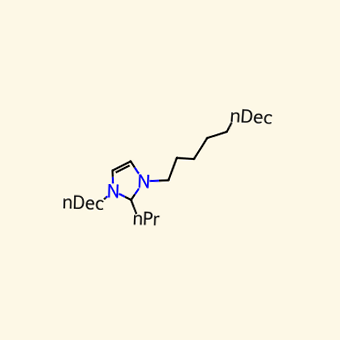 CCCCCCCCCCCCCCCN1C=CN(CCCCCCCCCC)C1CCC